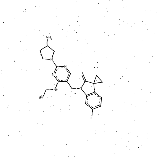 CC(C)CNc1nc(N2CCC(N)C2)ncc1CN1C(=O)C2(CC2)c2ccc(F)cc21